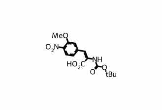 COc1cc(/C=C(/NC(=O)OC(C)(C)C)C(=O)O)ccc1[N+](=O)[O-]